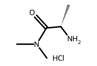 C[C@H](N)C(=O)N(C)C.Cl